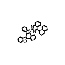 c1ccc2c(-c3nc(-n4c5ccccc5c5c6c7ccccc7oc6c6ccccc6c54)nc4ccccc34)cccc2c1